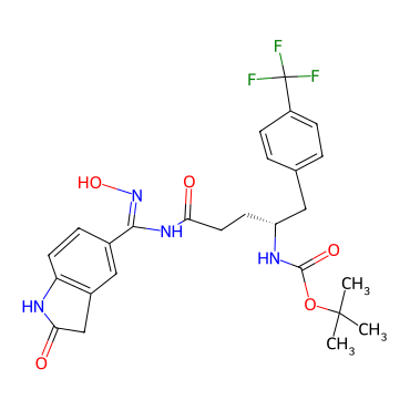 CC(C)(C)OC(=O)N[C@H](CCC(=O)N/C(=N/O)c1ccc2c(c1)CC(=O)N2)Cc1ccc(C(F)(F)F)cc1